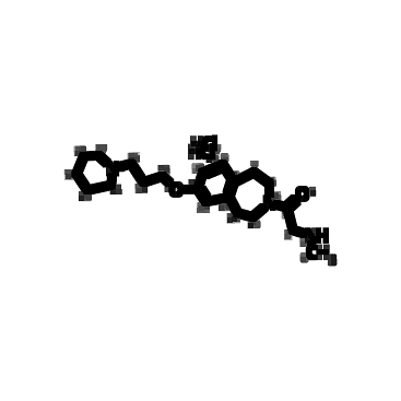 CNCC(=O)N1CCc2ccc(OCCCN3CCCCC3)cc2CC1.Cl.Cl